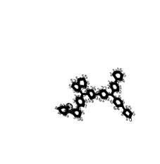 c1ccc(-c2ccc(C(c3ccc(-c4ccccc4)cc3)c3ccc(-c4ccc(C(c5ccc(-c6cccc7c6oc6ccccc67)cc5)c5cccc6ccccc56)cc4)cc3)cc2)cc1